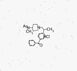 CC(=O)N(C)C1CCN(CC(C)c2ccc(C(=O)c3ccccc3)cc2)CC1.Cl